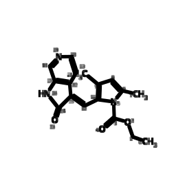 CCOC(=O)n1c(C)cc(C)c1C=C1C(=O)Nc2cnccc21